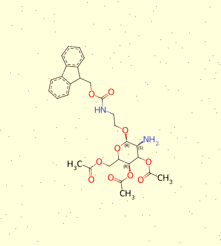 CC(=O)OCC1O[C@@H](OCCNC(=O)OCC2c3ccccc3-c3ccccc32)[C@@H](N)C(OC(C)=O)[C@H]1OC(C)=O